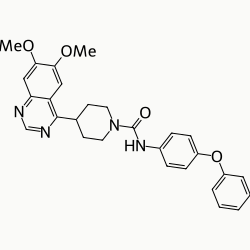 COc1cc2ncnc(C3CCN(C(=O)Nc4ccc(Oc5ccccc5)cc4)CC3)c2cc1OC